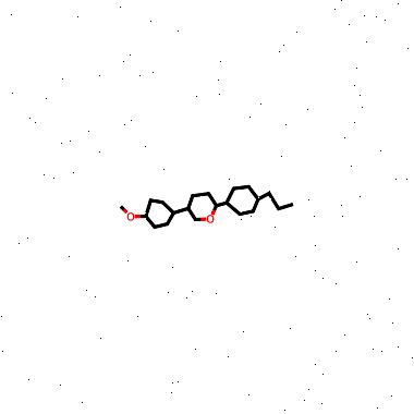 CCCC1CCC(C2CCC(C3CCC(OC)CC3)CO2)CC1